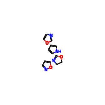 C1=NCCO1.c1cc[nH]c1.c1cnoc1.c1cocn1